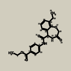 CCOC(=O)c1ccc(NC(=O)C2NC(=O)COc3c(CC)cccc32)cc1